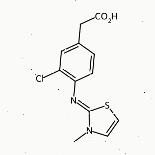 Cn1ccs/c1=N\c1ccc(CC(=O)O)cc1Cl